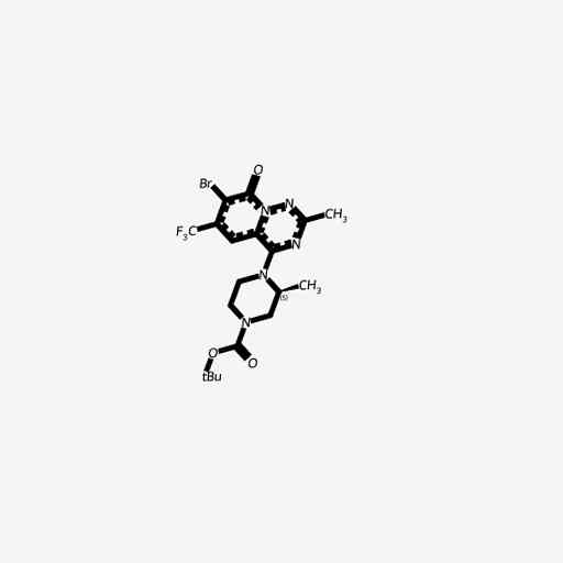 Cc1nc(N2CCN(C(=O)OC(C)(C)C)C[C@@H]2C)c2cc(C(F)(F)F)c(Br)c(=O)n2n1